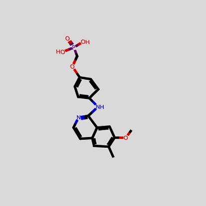 COc1cc2c(Nc3ccc(OCP(=O)(O)O)cc3)nccc2cc1C